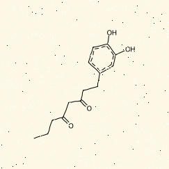 CCCC(=O)CC(=O)CCc1ccc(O)c(O)c1